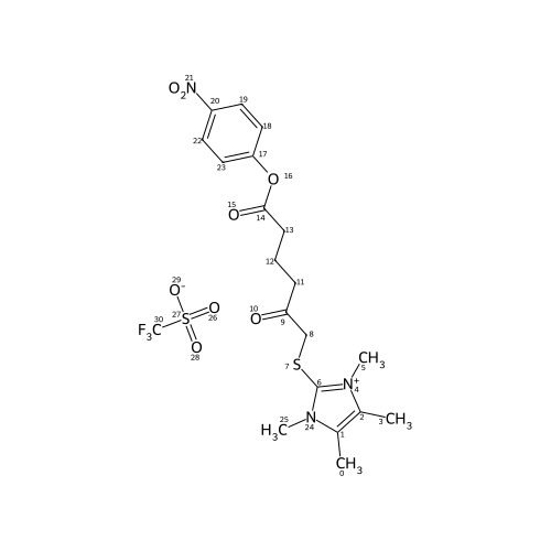 Cc1c(C)[n+](C)c(SCC(=O)CCCC(=O)Oc2ccc([N+](=O)[O-])cc2)n1C.O=S(=O)([O-])C(F)(F)F